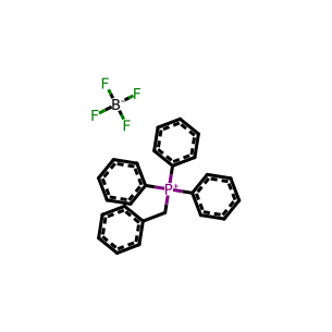 F[B-](F)(F)F.c1ccc(C[P+](c2ccccc2)(c2ccccc2)c2ccccc2)cc1